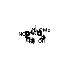 COc1cc(N2CCCC2CO)ccc1Nc1ncc(-c2ccc(C#N)c(O[C@@H](C)Cn3cnnn3)c2)cn1